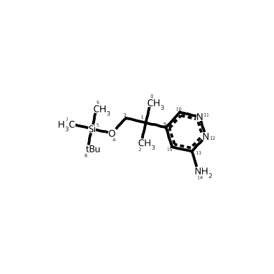 CC(C)(CO[Si](C)(C)C(C)(C)C)c1cnnc(N)c1